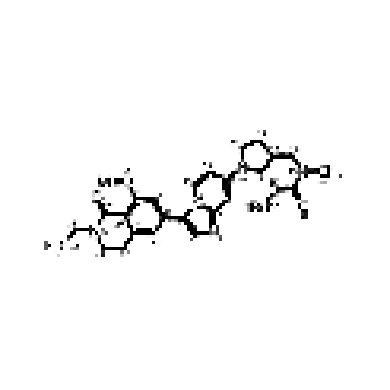 COc1cc(-c2cnc3cc(N4CCC(CN(C)C(=O)OC(C)(C)C)C4)ccn23)cc2c1C(=O)N(CC(F)(F)F)CC2